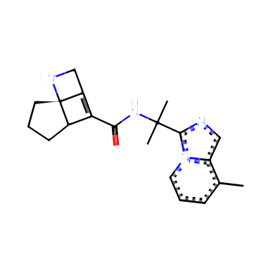 Cc1cccn2c(C(C)(C)NC(=O)C3=C4CN[C@]45CCCC35)ncc12